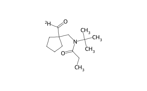 [2H]C(=O)C1(CN(C(=O)CC)C(C)(C)C)CCCC1